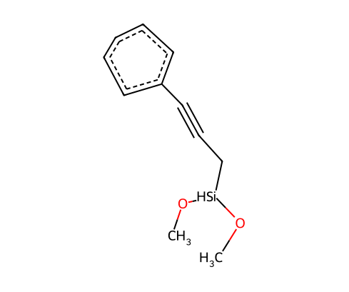 CO[SiH](CC#Cc1ccccc1)OC